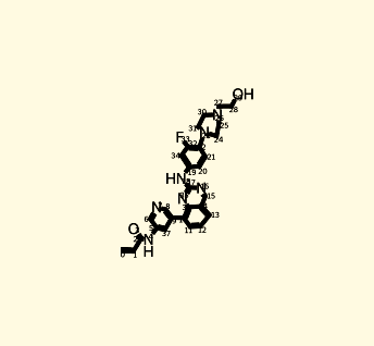 C=CC(=O)Nc1cncc(-c2cccc3cnc(Nc4ccc(N5CCN(CCO)CC5)c(F)c4)nc23)c1